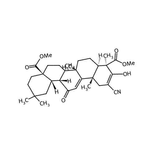 COC(=O)[C@]12CCC(C)(C)C[C@H]1[C@H]1C(=O)C=C3[C@@]4(C)CC(C#N)=C(O)[C@](C)(C(=O)OC)[C@@H]4CC[C@@]3(C)[C@]1(C)CC2